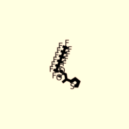 CC(CS(=O)(=O)C(F)(F)C(F)(F)C(F)(F)C(F)(F)C(F)(F)C(F)(F)F)c1cccs1